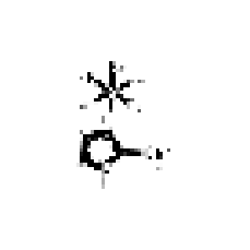 CCC(C)c1ccc[nH]1.F[P-](F)(F)(F)(F)F.[H+]